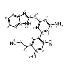 N#CCOc1cc(-c2nc(N)nc(Sc3nc4ccccc4[nH]3)n2)c(Cl)cc1Cl